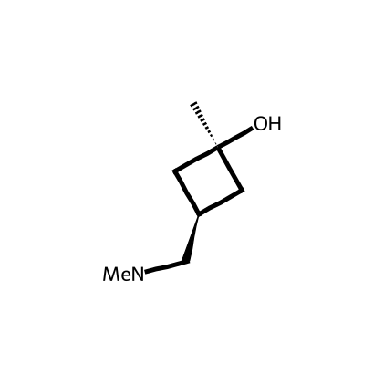 CNC[C@H]1C[C@@](C)(O)C1